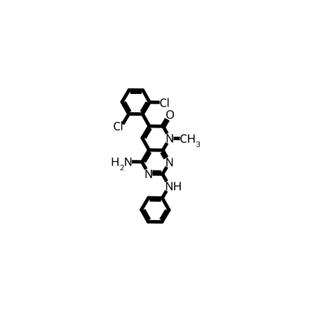 Cn1c(=O)c(-c2c(Cl)cccc2Cl)cc2c(N)nc(Nc3ccccc3)nc21